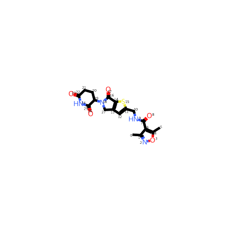 Cc1noc(C)c1C(=O)NCc1cc2c(s1)C(=O)N(C1CCC(=O)NC1=O)C2